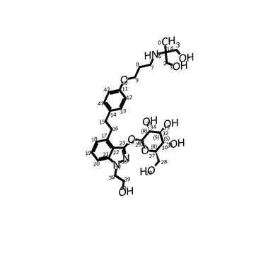 CC(CO)(CO)NCCCOc1ccc(CCc2cccc3c2c(O[C@@H]2O[C@H](CO)[C@@H](O)[C@H](O)[C@H]2O)nn3CCO)cc1